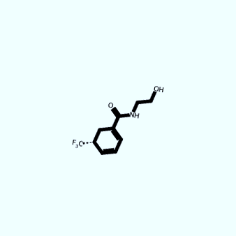 O=C(NCCO)C1=CC=C[C@H](C(F)(F)F)C1